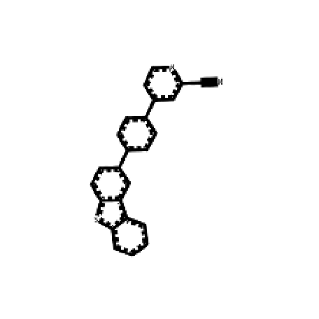 N#Cc1cc(-c2ccc(-c3ccc4sc5ccccc5c4c3)cc2)ccn1